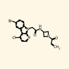 C=CC(=O)N1CC(NC(=O)Cn2c3ccc(Br)cc3c3c(Cl)ccnc32)C1